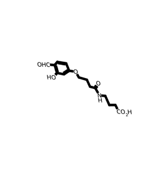 O=Cc1ccc(OCCCC(=O)NCCCC(=O)O)cc1O